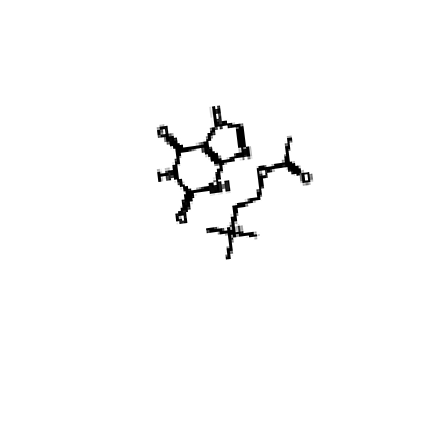 CC(=O)OCC[N+](C)(C)C.O=c1[nH]c(=O)c2[nH]cnc2[nH]1